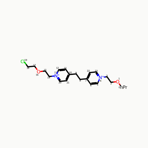 CCCOCC[n+]1ccc(CCc2cc[n+](CCOCCCl)cc2)cc1